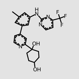 Cc1cc(Nc2nccc(C(F)(F)F)n2)cc(-c2ccnc(C3(O)CCC(O)CC3)c2)c1